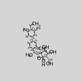 C=Cc1c(F)cc(-c2ccc([C@@H](O)[C@H]3OC4(O)C(CO)[C@@H](O)C(O)C34)c(C)c2)cc1F